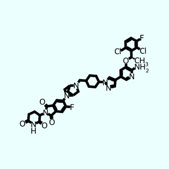 C[C@@H](Oc1cc(-c2cnn(C3CCC(CN4CC5CC4CN5c4cc5c(cc4F)C(=O)N(C4CCC(=O)NC4=O)C5=O)CC3)c2)cnc1N)c1c(Cl)ccc(F)c1Cl